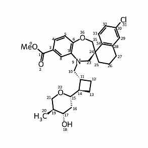 COC(=O)c1ccc2c(c1)N(C[C@@H]1CC[C@H]1[C@@H]1C[C@H](O)[C@@H](C)CO1)C[C@@]1(CCCc3cc(Cl)ccc31)CO2